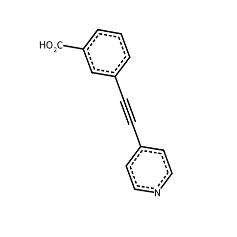 O=C(O)c1cccc(C#Cc2ccncc2)c1